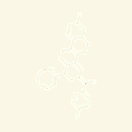 O=C(c1ccc(F)cc1)C1C=c2c(ccc3c2=CCc2cc(F)ccc2-3)C(C2=CC=CC=CN2)C1